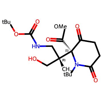 COC(=O)[C@]1([C@](C)(CO)CNC(=O)OC(C)(C)C)C(=O)CCC(=O)N1C(C)(C)C